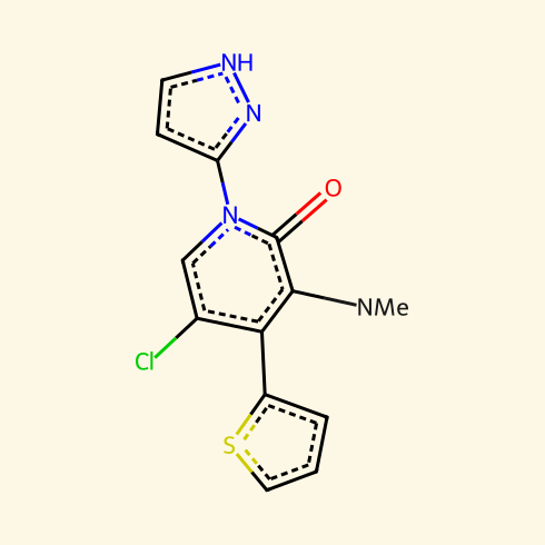 CNc1c(-c2cccs2)c(Cl)cn(-c2cc[nH]n2)c1=O